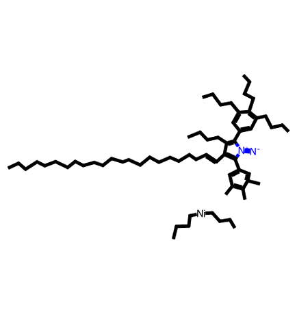 CCCCCCCCCCCCCCCCCCCCCC=CC1=C(c2cc(C)c(C)c(C)c2)[N+](=[N-])C(c2cc(CCCC)c(CCCC)c(CCCC)c2)=C1CCCC.CCC[CH2][Ni][CH2]CCC